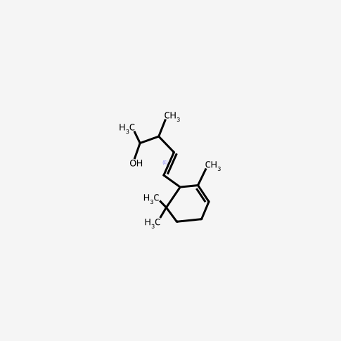 CC1=CCCC(C)(C)C1/C=C/C(C)C(C)O